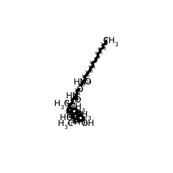 CCCCCCCCC=CCCCCCCCC(=O)NCCOCCNC(=O)CC[C@@H](C)C1CC[C@H]2[C@@H]3[C@H](O)[C@H](CC)[C@@H]4C[C@H](O)CC[C@]4(C)[C@H]3CC[C@]12C